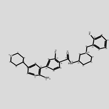 Nc1ncc(C2CCOCC2)cc1-c1ccc(C(=O)NC2CCCN(Cc3ccccc3F)C2)c(F)c1